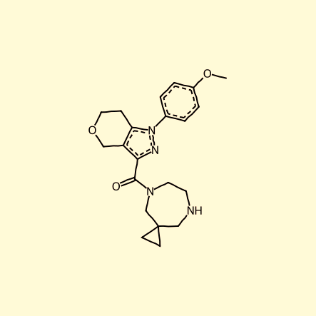 COc1ccc(-n2nc(C(=O)N3CCNCC4(CC4)C3)c3c2CCOC3)cc1